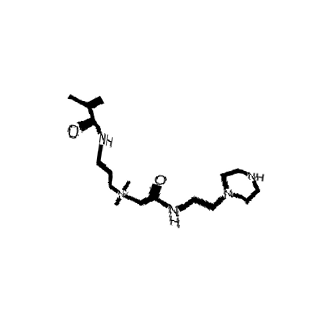 C=C(C)C(=O)NCCC[N+](C)(C)CC(=O)NCCN1CCNCC1